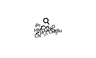 CC(C)[C@H](C[C@@H]1OC(C)(C)N(C(=O)OC(C)(C)C)[C@H]1CC1CCCCC1)C(=O)NCCC#N